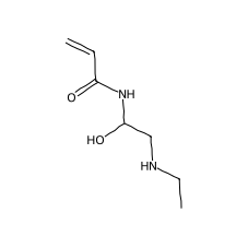 C=CC(=O)NC(O)CNCC